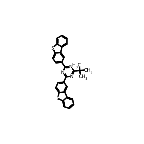 CC(C)(C)c1nc(-c2ccc3sc4ccccc4c3c2)nc(-c2ccc3sc4ccccc4c3c2)n1